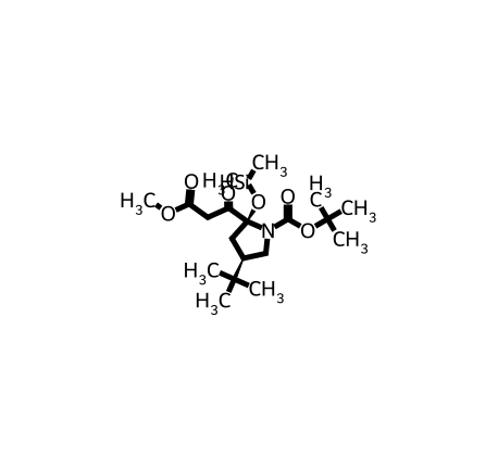 COC(=O)CC(=O)[C@@]1(O[SiH](C)C)C[C@H](C(C)(C)C)CN1C(=O)OC(C)(C)C